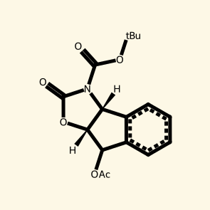 CC(=O)OC1c2ccccc2[C@@H]2[C@H]1OC(=O)N2C(=O)OC(C)(C)C